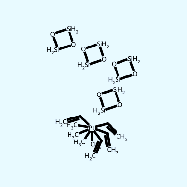 C=[CH][Pt]([CH3])([CH3])([CH3])([CH3])([CH]=C)([CH]=C)[CH]=C.O1[SiH2]O[SiH2]1.O1[SiH2]O[SiH2]1.O1[SiH2]O[SiH2]1.O1[SiH2]O[SiH2]1